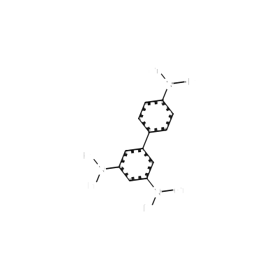 CC(C)N(c1ccc(-c2cc(N(C(C)C)C(C)C)cc(N(C(C)C)C(C)C)c2)cc1)C(C)C